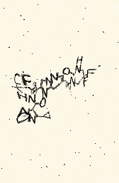 C[C@H](c1cnn2cc([C@H](CC(C)(C)C(F)(F)F)NC(=O)c3nonc3C3CC3)nc2c1)N1CC(F)(F)CNC1=O